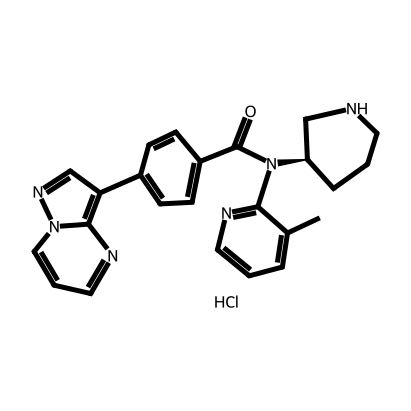 Cc1cccnc1N(C(=O)c1ccc(-c2cnn3cccnc23)cc1)[C@@H]1CCCNC1.Cl